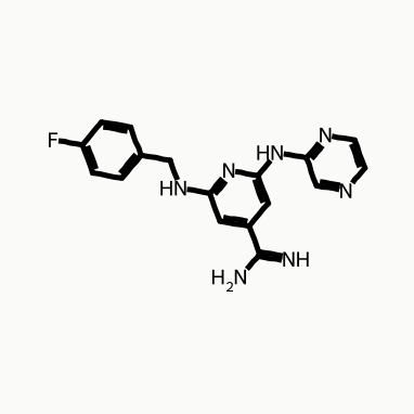 N=C(N)c1cc(NCc2ccc(F)cc2)nc(Nc2cnccn2)c1